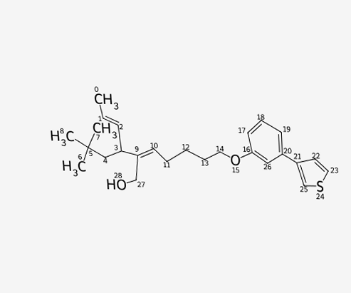 CC=CC(CC(C)(C)C)C(=CCCCCOc1cccc(-c2ccsc2)c1)CO